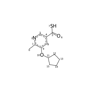 Cc1ncc(C(=O)S)cc1OC1CCCC1